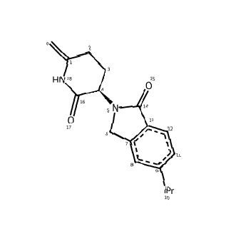 C=C1CC[C@@H](N2Cc3cc(C(C)C)ccc3C2=O)C(=O)N1